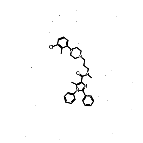 Cc1c(Cl)cccc1N1CCN(CCCN(C)C(=O)c2nc(-c3ccccc3)n(-c3ccccc3)c2C)CC1